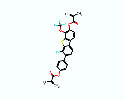 C=C(C)C(=O)Oc1ccc(-c2ccc3c(sc4c(OC(F)(F)F)c(OC(=O)C(=C)C)ccc43)c2F)cc1